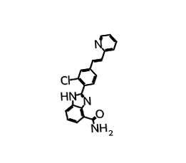 NC(=O)c1cccc2[nH]c(-c3ccc(C=Cc4ccccn4)cc3Cl)nc12